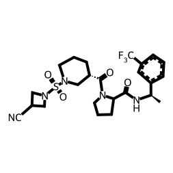 C[C@@H](NC(=O)C1CCCN1C(=O)[C@H]1CCCN(S(=O)(=O)N2CC(C#N)C2)C1)c1cccc(C(F)(F)F)c1